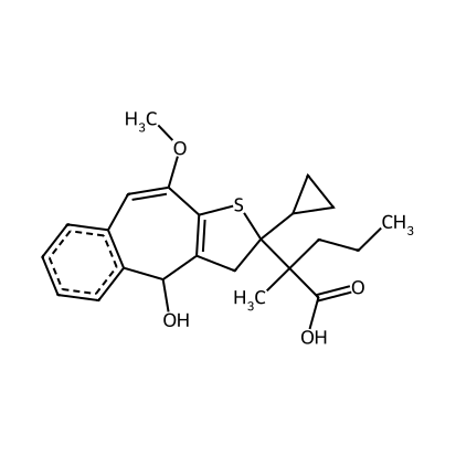 CCCC(C)(C(=O)O)C1(C2CC2)CC2=C(S1)C(OC)=Cc1ccccc1C2O